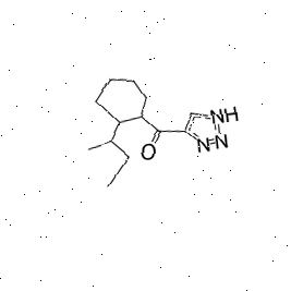 CCC(C)C1CCCCC1C(=O)c1c[nH]nn1